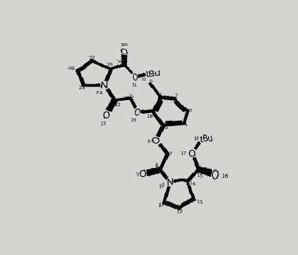 Cc1cccc(OCC(=O)N2CCCC2C(=O)OC(C)(C)C)c1OCC(=O)N1CCCC1C(=O)OC(C)(C)C